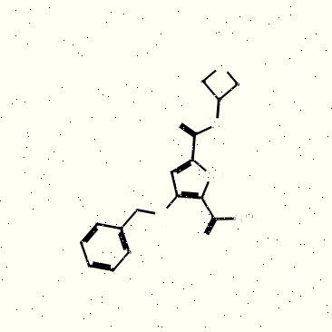 CNC(=O)c1[nH]c(C(=O)NC2COC2)cc1O[C@@H](C)c1ccccc1